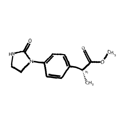 COC(=O)[C@H](C)c1ccc(N2CCNC2=O)cc1